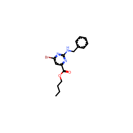 CCCCOC(=O)c1cc(Br)nc(NCc2ccccc2)n1